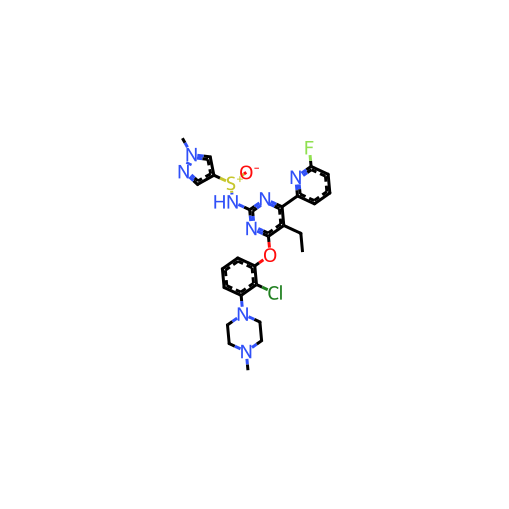 CCc1c(Oc2cccc(N3CCN(C)CC3)c2Cl)nc(N[S+]([O-])c2cnn(C)c2)nc1-c1cccc(F)n1